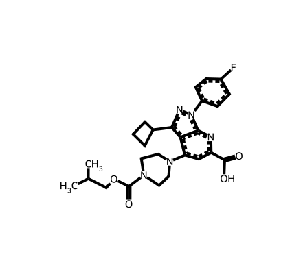 CC(C)COC(=O)N1CCN(c2cc(C(=O)O)nc3c2c(C2CCC2)nn3-c2ccc(F)cc2)CC1